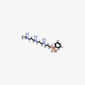 CCNCCCNCCCNCCCOP(C)(=O)c1ccccc1